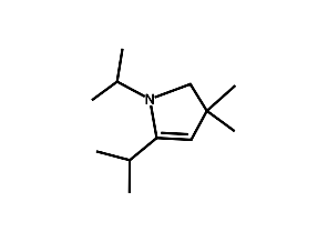 CC(C)C1=CC(C)(C)CN1C(C)C